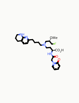 CO[C@H](CF)CN(CCCCc1ccc2c(n1)NCCC2)CC[C@H](NC(=O)Cn1ccccc1=O)C(=O)O